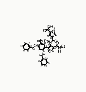 CCNC(=O)c1noc(-c2cc(C(C)C)c(OCc3ccccc3)cc2OCc2ccccc2)c1N(CC)C(=O)c1cc(C(N)=O)on1